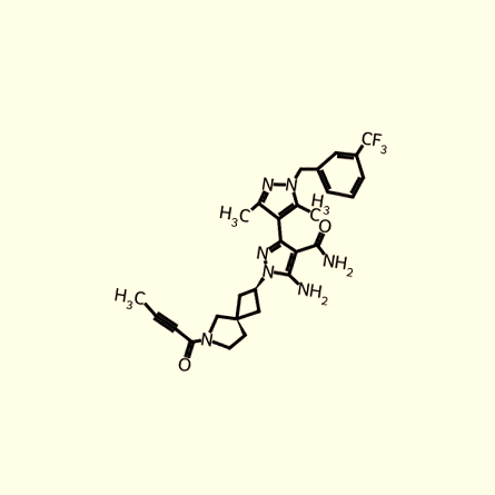 CC#CC(=O)N1CC[C@]2(C1)C[C@H](n1nc(-c3c(C)nn(Cc4cccc(C(F)(F)F)c4)c3C)c(C(N)=O)c1N)C2